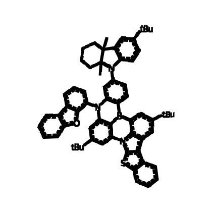 CC(C)(C)c1cc2c3c(c1)-n1c4sc5ccccc5c4c4cc(C(C)(C)C)cc(c41)B3c1ccc(N3c4ccc(C(C)(C)C)cc4C4(C)CCCCC34C)cc1N2c1cccc2c1oc1ccccc12